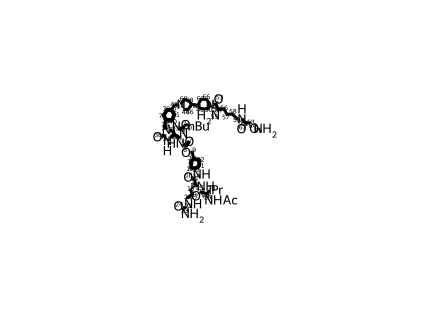 CCCCOc1nc(NC(=O)OCc2ccc(NC(=O)[C@H](CCCNC(N)=O)NC(=O)[C@@H](NC(C)=O)C(C)C)cc2)c2[nH]c(=O)n(Cc3ccc(CN4CCC(C5CCN(C(=O)[C@@H](N)CCCCNC(=O)CON)CC5)CC4)cc3)c2n1